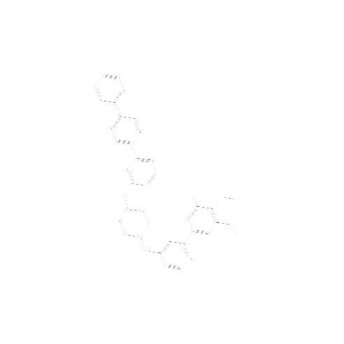 COc1cc(-c2cc(CN3CCN(Cc4ccnc(-c5ccc(-c6ccccc6)cc5)c4)CC3)ccn2)cc(OC)c1OC